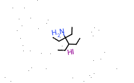 CCC(CC)C(N)(CC)CC.I